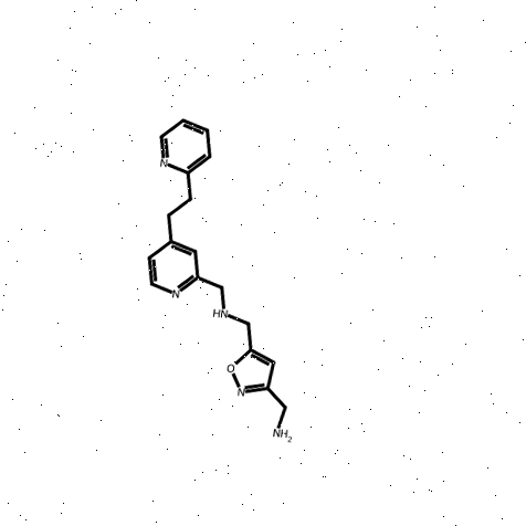 NCc1cc(CNCc2cc(CCc3ccccn3)ccn2)on1